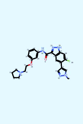 Cn1cc(-c2cc3c(C(=O)Nc4cccc(OCCN5CCCC5)c4)n[nH]c3cc2F)cn1